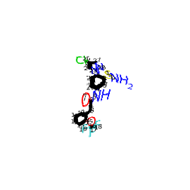 NSc1cc(NC(=O)Cc2ccccc2OC(F)(F)F)ccc1-n1cc(Cl)cn1